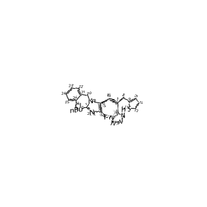 CCCCc1nc(F)c(/C=C(/Cc2cccs2)c2nnn[nH]2)n1Cc1ccccc1Cl